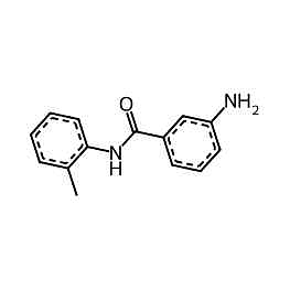 Cc1ccccc1NC(=O)c1cccc(N)c1